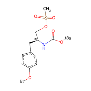 CCOc1ccc(C[C@@H](COS(C)(=O)=O)NC(=O)OC(C)(C)C)cc1